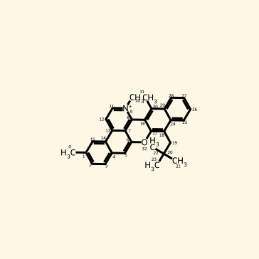 Cc1ccc2cc3c4c([n+](C)ccc4c2c1)-c1c(c(CC(C)(C)C)c2ccccc2c1C)O3